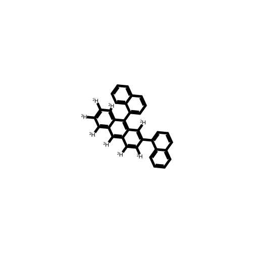 [2H]c1c([2H])c([2H])c2c(-c3cccc4ccccc34)c3c([2H])c(-c4cccc5ccccc45)c([2H])c([2H])c3c([2H])c2c1[2H]